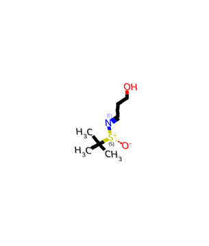 CC(C)(C)[S@@+]([O-])/N=C/CCO